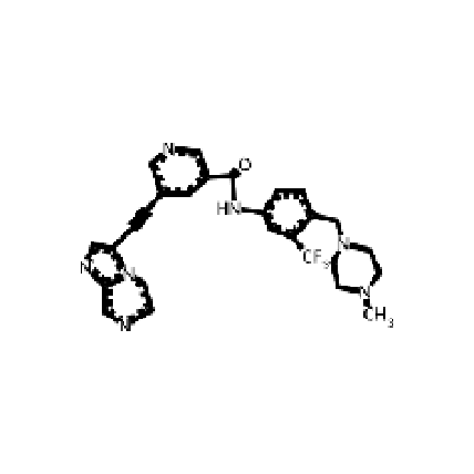 CN1CCN(Cc2ccc(NC(=O)c3cncc(C#Cc4cnc5cnccn45)c3)cc2C(F)(F)F)CC1